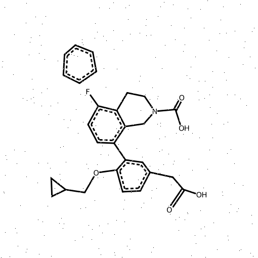 O=C(O)Cc1ccc(OCC2CC2)c(-c2ccc(F)c3c2CN(C(=O)O)CC3)c1.c1ccccc1